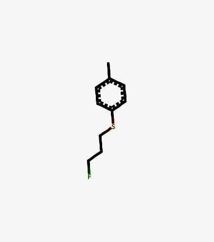 Cc1ccc(SCCCF)cc1